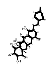 CC(=O)C1=C(O)C(C(C)C)[C@@]2(C)C[C@@]3(C)Cc4c(C(C)C)cc(CCc5ccc(C)cc5)c(O)c4C(=O)C3=C(O)[C@@]2(O)C1=O